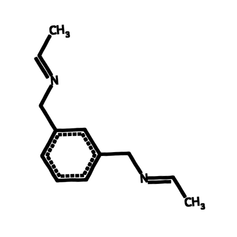 CC=NCc1cccc(CN=CC)c1